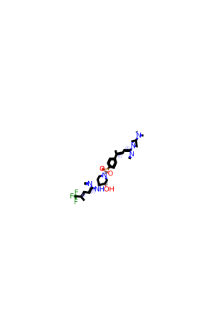 C=N/C(=C\C=C(/C)C(F)(F)F)N[C@@H]1CCN(S(=O)(=O)c2ccc(/C(C)=C/C=C(\N=C)N3CC(N(C)C)C3)cc2)C[C@@H]1O